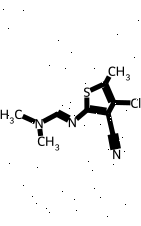 Cc1sc(N=CN(C)C)c(C#N)c1Cl